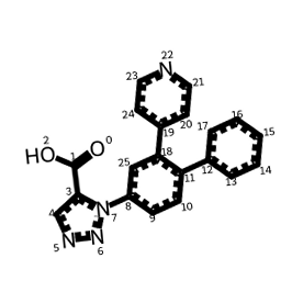 O=C(O)c1cnnn1-c1ccc(-c2ccccc2)c(-c2ccncc2)c1